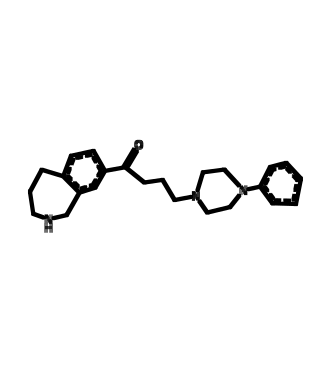 O=C(CCCN1CCN(c2ccccc2)CC1)c1ccc2c(c1)CNCCC2